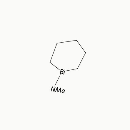 C[NH][Bi]1[CH2]CCC[CH2]1